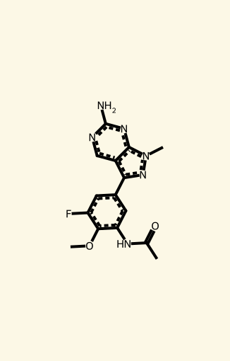 COc1c(F)cc(-c2nn(C)c3nc(N)ncc23)cc1NC(C)=O